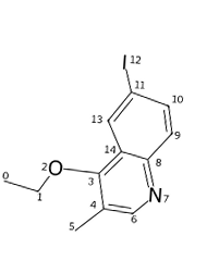 CCOc1c(C)cnc2ccc(I)cc12